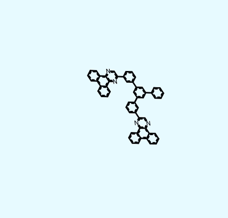 c1ccc(-c2cc(-c3cccc(-c4cnc5c6ccccc6c6ccccc6c5n4)c3)cc(-c3cccc(-c4cnc5c6ccccc6c6ccccc6c5n4)c3)c2)cc1